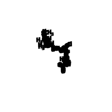 Cc1ncsc1-c1ccc([C@H](C)NC(=O)[C@@H]2CCCN2C(=O)[C@@H](NC(=O)CCCCCC(=O)N2CCN(CCN(C)CC3(C)CCC(c4ccc(Cl)cc4)=C(CN4CCN(c5ccc(C(=O)NS(=O)(=O)c6ccc(N[C@H](CCN7CCOCC7)CSc7ccccc7)c(S(=O)(=O)C(F)(F)F)c6)cc5)CC4)C3)CC2)C(C)(C)C)cc1